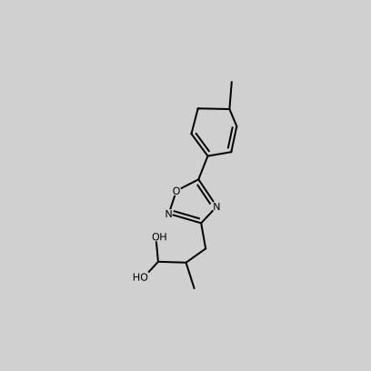 CC1C=CC(c2nc(CC(C)C(O)O)no2)=CC1